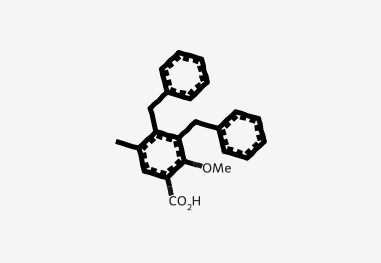 COc1c(C(=O)O)cc(C)c(Cc2ccccc2)c1Cc1ccccc1